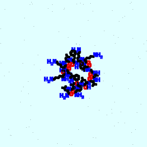 CC[C@H](C)[C@H](NC(=O)[C@H](CCCCN)NC(=O)[C@H](CCCCN)NC(=O)[C@H](Cc1ccccc1)NC(=O)[C@H](CC(C)C)NC(=O)[C@H](CCCCN)NC(=O)[C@H](Cc1c[nH]c2ccccc12)NC(=O)[C@@H](N)CCCCN)C(=O)NCC(=O)N[C@@H](C)C(=O)N[C@H](C(=O)N[C@@H](CC(C)C)C(=O)N[C@@H](CCCCN)C(=O)N[C@H](C(=O)N[C@@H](CC(C)C)C(N)=O)C(C)C)C(C)C